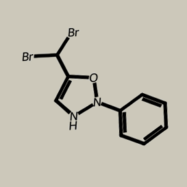 BrC(Br)C1=CNN(c2ccccc2)O1